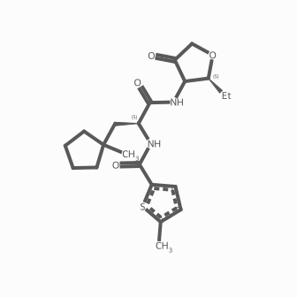 CC[C@@H]1OCC(=O)C1NC(=O)[C@H](CC1(C)CCCC1)NC(=O)c1ccc(C)s1